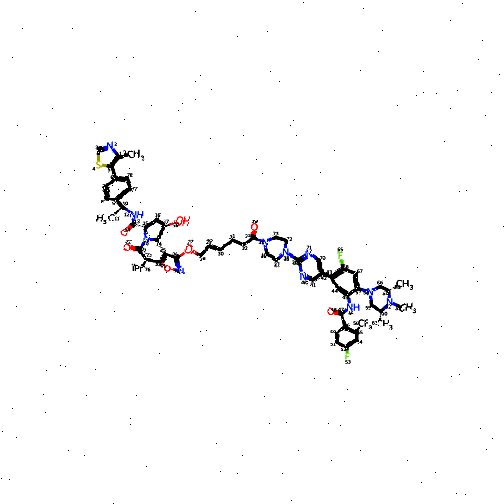 Cc1ncsc1-c1ccc([C@H](C)NC(=O)[C@@H]2C[C@@H](O)CN2C(=O)[C@@H](c2cc(OCCCCCC(=O)N3CCN(c4ncc(-c5cc(NC(=O)c6ccc(F)cc6C(F)(F)F)c(N6C[C@@H](C)N(C)[C@@H](C)C6)cc5F)cn4)CC3)no2)C(C)C)cc1